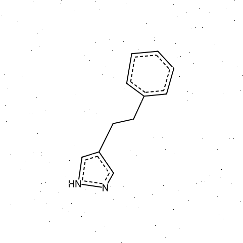 c1ccc(CCc2cn[nH]c2)cc1